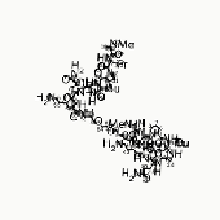 CC[C@H](C)[C@H](NC(=O)[C@@H]1CCCN1C(=O)[C@@H](NC(=O)[C@H](C)NC)C(C)C)C(=O)N[C@@H](C)C(=O)N[C@@H](CCC(N)=O)C(=O)N[C@@H](CCCCN)C(=O)NCCCOCCOCCOCCCNC(=O)[C@H](CCCCN)NC(=O)[C@H](CCC(N)=O)NC(=O)[C@H](C)NC(=O)[C@@H](NC(=O)[C@@H]1CCCN1C(=O)[C@@H](NC(=O)[C@H](C)NC)C(C)C)[C@@H](C)CC